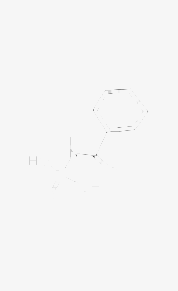 O=C(NP(=O)(O)O)c1ccccc1